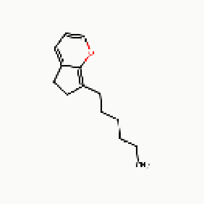 [CH2]CCCCCC1=C2OC=CC=C2CC1